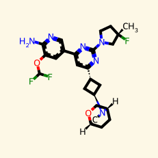 C[C@]1(F)CCN(c2nc(-c3cnc(N)c(OC(F)F)c3)cc([C@H]3C[C@H](N4C[C@@H]5CC[C@H]4CO5)C3)n2)C1